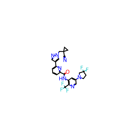 N#CC1(Cn2cc(-c3cccc(C(=O)Nc4cc(N5CCC(F)(F)C5)cnc4C(F)(F)F)n3)cn2)CC1